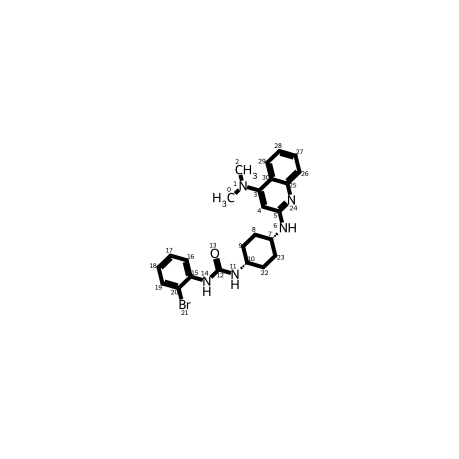 CN(C)c1cc(N[C@H]2CC[C@@H](NC(=O)Nc3ccccc3Br)CC2)nc2ccccc12